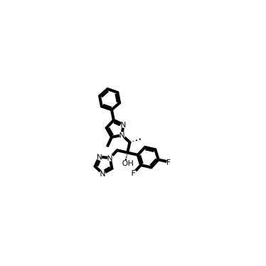 Cc1cc(-c2ccccc2)nn1[C@H](C)[C@](O)(Cn1cncn1)c1ccc(F)cc1F